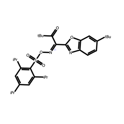 CC(C)c1cc(C(C)C)c(S(=O)(=O)O/N=C(\C(=O)C(C)(C)C)c2nc3ccc(C(C)(C)C)cc3o2)c(C(C)C)c1